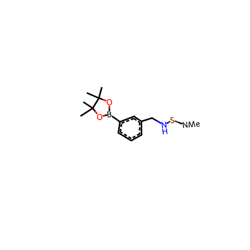 CNSNCc1cccc(B2OC(C)(C)C(C)(C)O2)c1